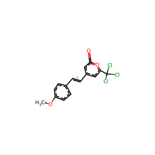 COc1ccc(/C=C/c2cc(C(Cl)(Cl)Cl)oc(=O)c2)cc1